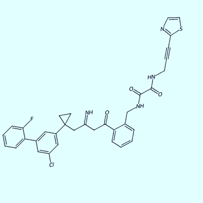 N=C(CC(=O)c1ccccc1CNC(=O)C(=O)NCC#Cc1nccs1)CC1(c2cc(Cl)cc(-c3ccccc3F)c2)CC1